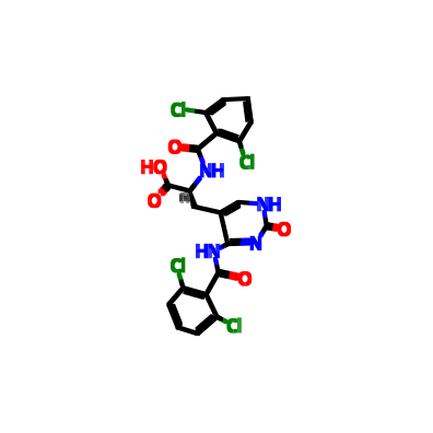 O=C(Nc1nc(=O)[nH]cc1C[C@H](NC(=O)c1c(Cl)cccc1Cl)C(=O)O)c1c(Cl)cccc1Cl